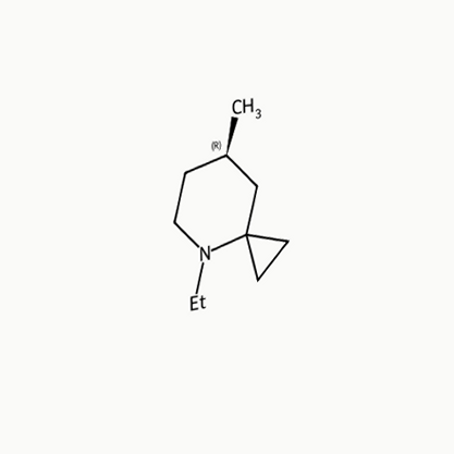 CCN1CC[C@@H](C)CC12CC2